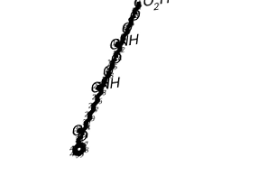 O=C(O)CCOCCOCCNC(=O)CCOCCOCCNC(=O)CCCCCCCCCC(=O)OCc1ccccc1